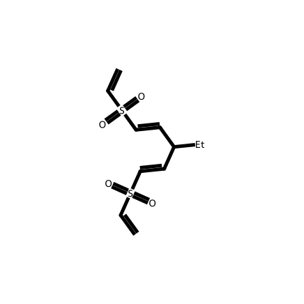 C=CS(=O)(=O)C=CC(C=CS(=O)(=O)C=C)CC